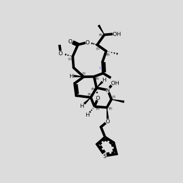 CO[C@H]1C[C@H]2C=C[C@H]3[C@H]4O[C@]2(/C(C)=C/[C@@H](C)[C@@H]([C@@H](C)O)OC1=O)[C@@H]3N(O)[C@@H](C)[C@H]4OCc1ccsc1